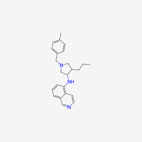 CCCC1CN(Cc2ccc(C)cc2)CC1Nc1cccc2cnccc12